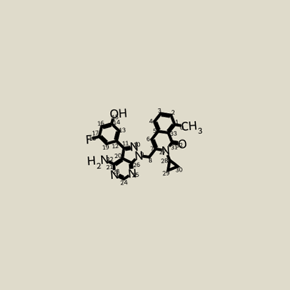 Cc1cccc2cc(Cn3nc(-c4cc(O)cc(F)c4)c4c(N)ncnc43)n(C3CC3)c(=O)c12